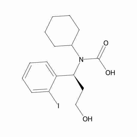 O=C(O)N(C1CCCCC1)[C@@H](CCO)c1ccccc1I